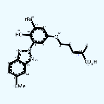 COc1ccc2nn(-c3cc(OCC/C=C(\C)C(=O)O)cc(C(C)(C)C)c3O)nc2c1